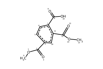 COC(=O)c1ccc(C(=O)O)c(C(=O)OC)c1